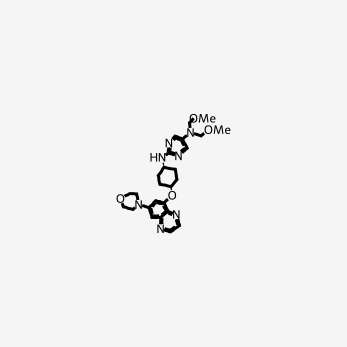 COCN(COC)c1cnc(N[C@H]2CC[C@@H](Oc3cc(N4CCOCC4)cc4nccnc34)CC2)nc1